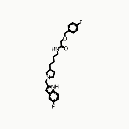 O=C(COCc1ccc(F)cc1)NCCCCC1CCN(Cc2cc3cc(F)ccc3[nH]2)C1